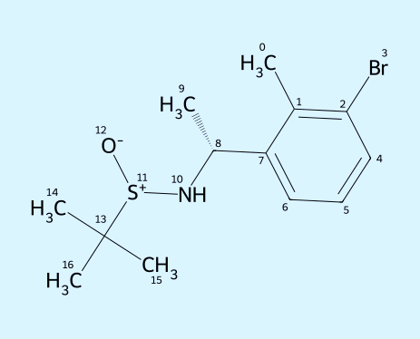 Cc1c(Br)cccc1[C@@H](C)N[S+]([O-])C(C)(C)C